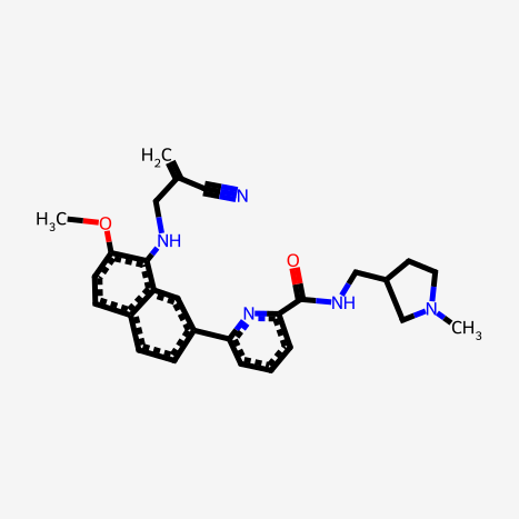 C=C(C#N)CNc1c(OC)ccc2ccc(-c3cccc(C(=O)NCC4CCN(C)C4)n3)cc12